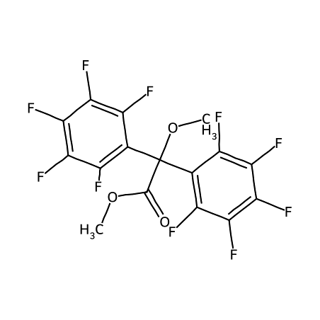 COC(=O)C(OC)(c1c(F)c(F)c(F)c(F)c1F)c1c(F)c(F)c(F)c(F)c1F